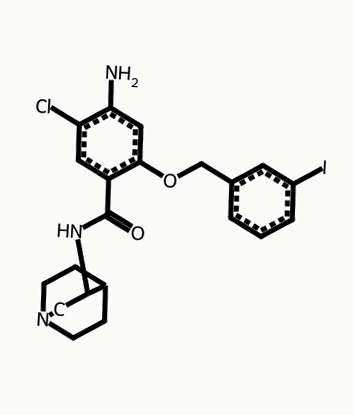 Nc1cc(OCc2cccc(I)c2)c(C(=O)NC2CN3CCC2CC3)cc1Cl